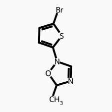 CC1N=CN(c2ccc(Br)s2)O1